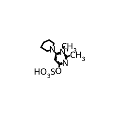 Cc1nc(OS(=O)(=O)O)cc(N2CCCCC2)[n+]1C